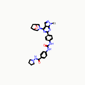 CCn1ncc2c(N3CC4CCC(C3)O4)nc(-c3ccc(NC(=O)Nc4ccc(C(=O)NN5CCCC5)cc4)cc3)nc21